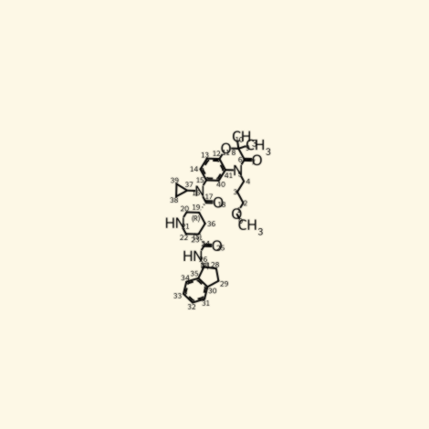 COCCCN1C(=O)C(C)(C)Oc2ccc(N(C(=O)[C@H]3CNC[C@@H](C(=O)N[C@@H]4CCc5ccccc54)C3)C3CC3)cc21